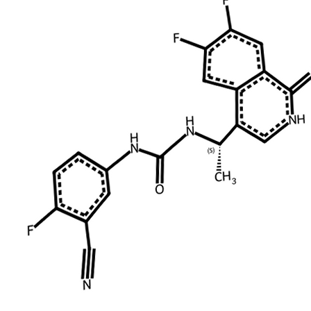 C[C@H](NC(=O)Nc1ccc(F)c(C#N)c1)c1c[nH]c(=O)c2cc(F)c(F)cc12